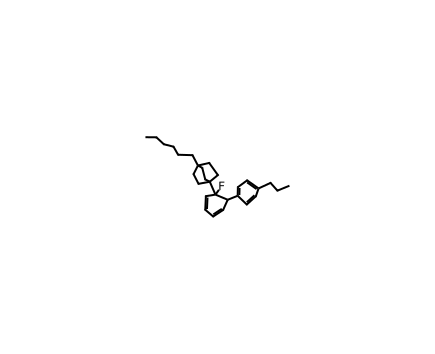 CCCCCCC12CCC(C3(F)C=CC=CC3c3ccc(CCC)cc3)(CC1)CC2